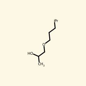 CC(C)CCCOCC(C)O